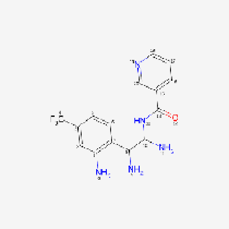 Nc1cc(C(F)(F)F)ccc1C(N)C(N)NC(=O)c1cccnc1